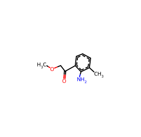 COCC(=O)c1cccc(C)c1N